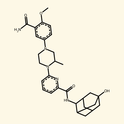 COc1ccc(N2CCN(c3cccc(C(=O)NC4C5CC6CC4CC(O)(C6)C5)n3)C(C)C2)cc1C(N)=O